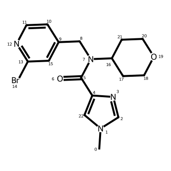 Cn1cnc(C(=O)N(Cc2ccnc(Br)c2)C2CCOCC2)c1